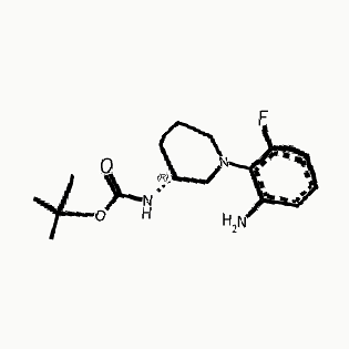 CC(C)(C)OC(=O)N[C@@H]1CCCN(c2c(N)cccc2F)C1